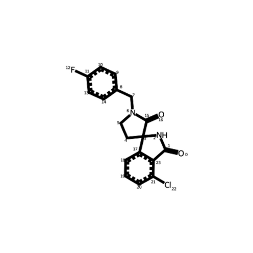 O=C1NC2(CCN(Cc3ccc(F)cc3)C2=O)c2cccc(Cl)c21